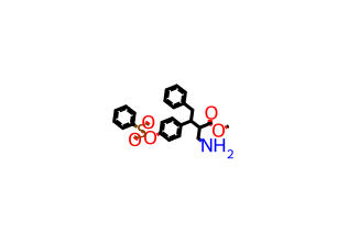 COC(=O)C(CN)C(Cc1ccccc1)c1ccc(OS(=O)(=O)c2ccccc2)cc1